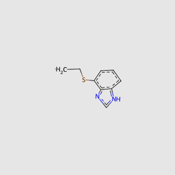 [CH2]CSc1cccc2[nH]cnc12